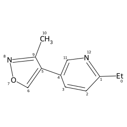 CCc1ccc(-c2conc2C)cn1